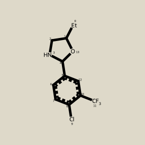 CCC1CNC(c2ccc(Cl)c(C(F)(F)F)c2)O1